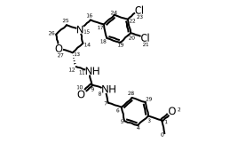 CC(=O)c1ccc(CNC(=O)NC[C@H]2CN(Cc3ccc(Cl)c(Cl)c3)CCO2)cc1